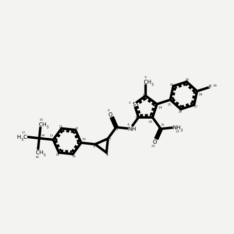 Cc1sc(NC(=O)C2CC2c2ccc(C(C)(C)C)cc2)c(C(N)=O)c1-c1ccc(F)cc1